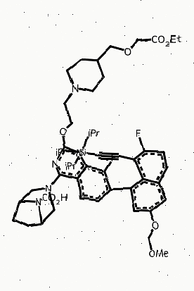 CCOC(=O)COCC1CCN(CCOc2nc(N3CC4CCC(C3)N4C(=O)O)c3ccc(-c4cc(OCOC)cc5ccc(F)c(C#C[Si](C(C)C)(C(C)C)C(C)C)c45)c(F)c3n2)CC1